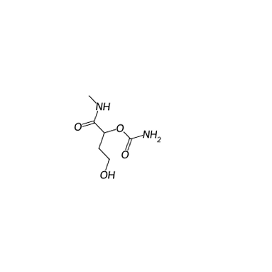 CNC(=O)C(CCO)OC(N)=O